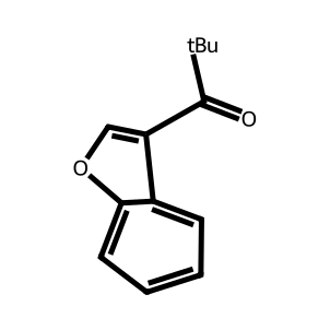 CC(C)(C)C(=O)c1coc2ccccc12